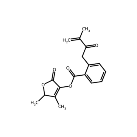 C=C(C)C(=O)Cc1ccccc1C(=O)OC1=C(C)C(C)OC1=O